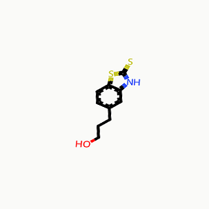 OCCCc1ccc2sc(=S)[nH]c2c1